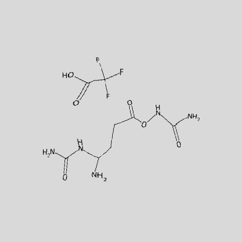 NC(=O)NOC(=O)CCC(N)NC(N)=O.O=C(O)C(F)(F)F